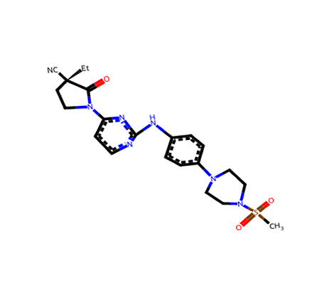 CC[C@]1(C#N)CCN(c2ccnc(Nc3ccc(N4CCN(S(C)(=O)=O)CC4)cc3)n2)C1=O